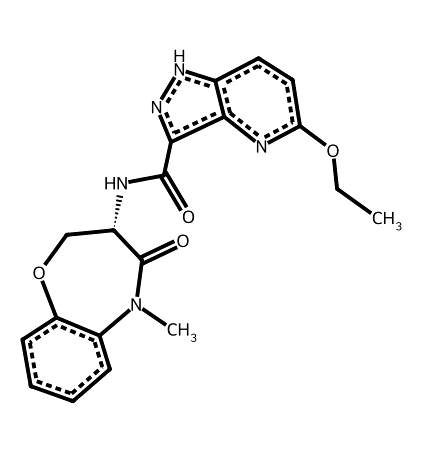 CCOc1ccc2[nH]nc(C(=O)N[C@H]3COc4ccccc4N(C)C3=O)c2n1